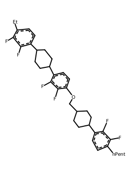 CCCCCc1ccc(C2CCC(COc3ccc(C4CCC(c5ccc(CC)c(F)c5F)CC4)c(F)c3F)CC2)c(F)c1F